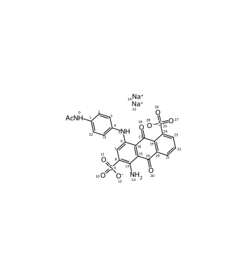 CC(=O)Nc1ccc(Nc2cc(S(=O)(=O)[O-])c(N)c3c2C(=O)c2c(cccc2S(=O)(=O)[O-])C3=O)cc1.[Na+].[Na+]